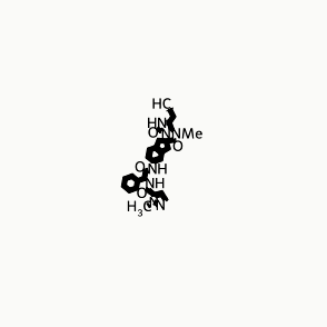 C#CCC1CN(C2(C(=O)NC)Cc3ccc(NC(=O)[C@@H](NC(=O)c4ccnn4C)C4CCCCC4)cc3C2)C(=O)N1